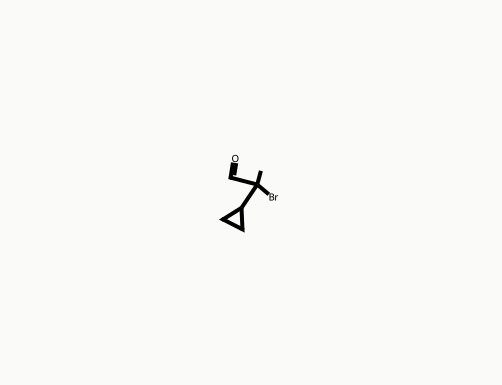 CC(Br)(C=O)C1CC1